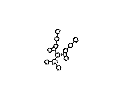 c1ccc(-c2ccc(-c3ccc4c(c3)c3ccccc3n4-c3cc(-c4cc(-c5ccccc5)nc(-c5ccccc5)n4)cc(-n4c5ccccc5c5cc(-c6ccc(-c7ccccc7)cc6)ccc54)c3)cc2)cc1